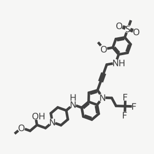 COCC(O)CN1CCC(Nc2cccc3c2cc(C#CCNc2ccc(S(C)(=O)=O)cc2OC)n3CCC(F)(F)F)CC1